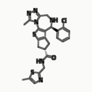 Cc1cnc(CNC(=O)[C@@H]2Cc3sc4c(c3C2)[C@H](c2ccccc2Cl)NCc2nnc(C)n2-4)s1